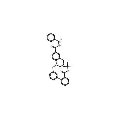 C[C@H](NC(=O)c1ccc2c(c1)CCCN2Cc1cccc(-c2ccccc2C(=O)OC(C)(C)C)c1)c1ccccc1